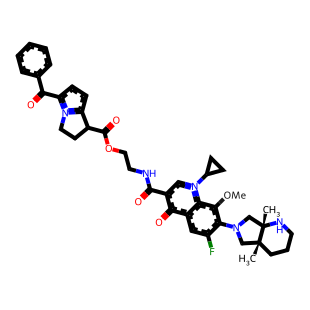 COc1c(N2C[C@@]3(C)CCCN[C@@]3(C)C2)c(F)cc2c(=O)c(C(=O)NCCOC(=O)C3CCn4c(C(=O)c5ccccc5)ccc43)cn(C3CC3)c12